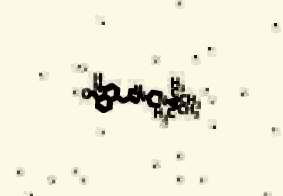 CC1(C)C(N2CCC(n3cc(Cc4ccc5c6c(cccc46)C(=O)N5)cn3)CC2)C1(C)C